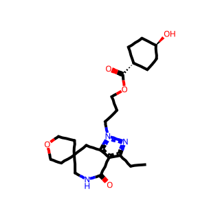 CCc1nn(CCCOC(=O)[C@H]2CC[C@H](O)CC2)c2c1C(=O)NCC1(CCOCC1)C2